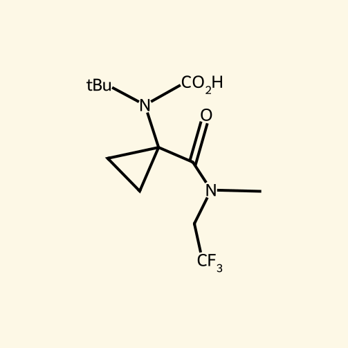 CN(CC(F)(F)F)C(=O)C1(N(C(=O)O)C(C)(C)C)CC1